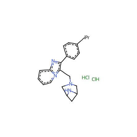 CC(C)c1ccc(-c2nc3ccccn3c2CN2CC3CC(C2)N3)cc1.Cl.Cl